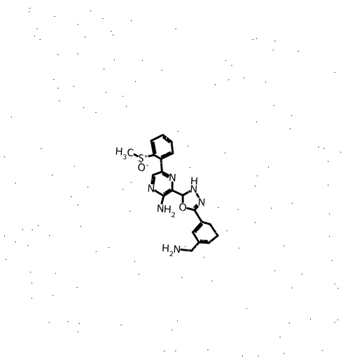 C[S+]([O-])c1ccccc1-c1cnc(N)c(C2NN=C(C3=CC(CN)=CCC3)O2)n1